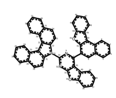 c1ccc2c(c1)cc(-c1nc(-n3c4ccc5ccccc5c4c4c5ccccc5ccc43)nc3oc4ccccc4c13)c1oc3ccccc3c12